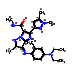 CCN(CC)c1ccc(/N=C2/C(C)=Nn3c2nc(-c2cc(C)n(C)n2)c3C(=O)NC)c(C)c1